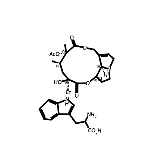 CC[C@]1(O)C[C@@H](C)[C@](C)(OC(C)=O)C(=O)OCC2=CCN3CC[C@@H](OC1=O)[C@@H]23.NC(Cc1c[nH]c2ccccc12)C(=O)O